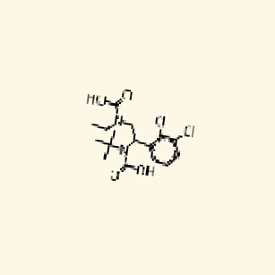 CCN(CC(c1cccc(Cl)c1Cl)N(C(=O)O)C(C)(C)C)C(=O)O